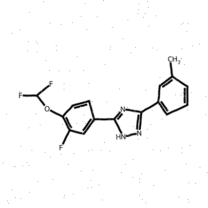 [CH2]c1cccc(-c2n[nH]c(-c3ccc(OC(F)F)c(F)c3)n2)c1